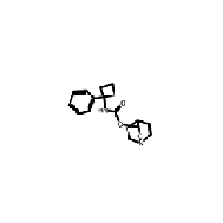 O=C(NC1(c2ccccc2)CCC1)OC1CN2CCC1CC2